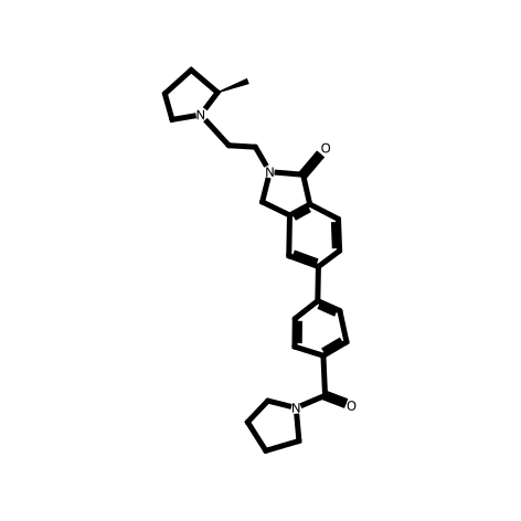 C[C@@H]1CCCN1CCN1Cc2cc(-c3ccc(C(=O)N4CCCC4)cc3)ccc2C1=O